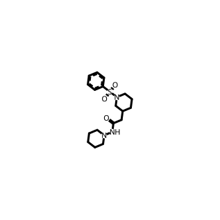 O=C(CC1CCCN(S(=O)(=O)c2ccccc2)C1)NN1CCCCC1